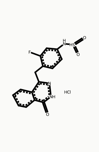 Cl.O=c1[nH]nc(Cc2ccc(N[SH](=O)=O)cc2F)c2ccccc12